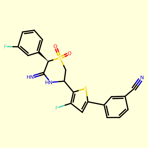 N#Cc1cccc(-c2cc(F)c(C3CS(=O)(=O)[C@H](c4cccc(F)c4)C(=N)N3)s2)c1